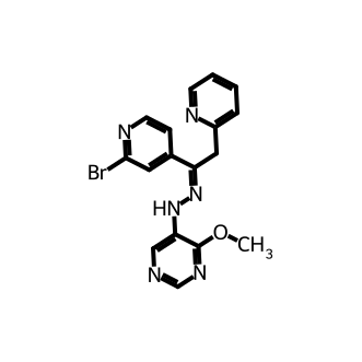 COc1ncncc1NN=C(Cc1ccccn1)c1ccnc(Br)c1